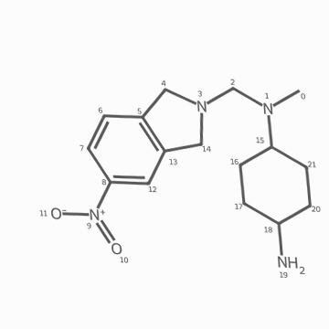 CN(CN1Cc2ccc([N+](=O)[O-])cc2C1)C1CCC(N)CC1